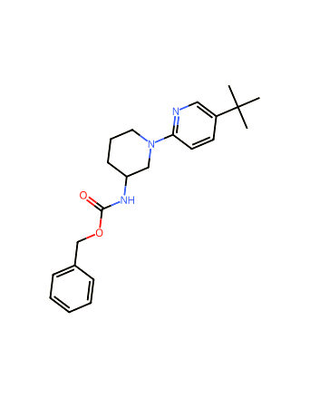 CC(C)(C)c1ccc(N2CCCC(NC(=O)OCc3ccccc3)C2)nc1